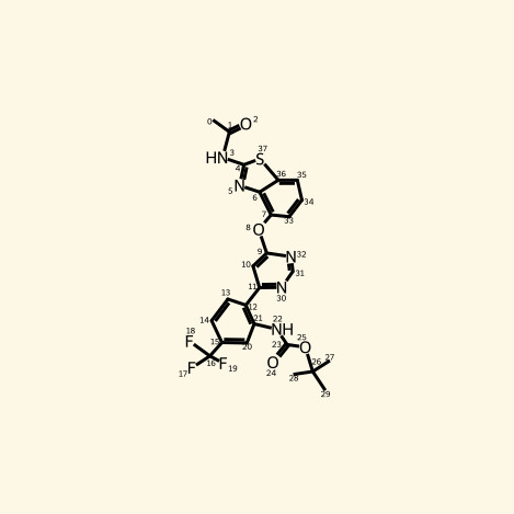 CC(=O)Nc1nc2c(Oc3cc(-c4ccc(C(F)(F)F)cc4NC(=O)OC(C)(C)C)ncn3)cccc2s1